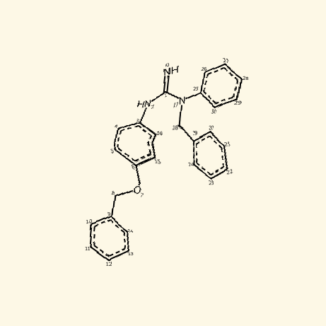 N=C(Nc1ccc(OCc2ccccc2)cc1)N(Cc1ccccc1)c1ccccc1